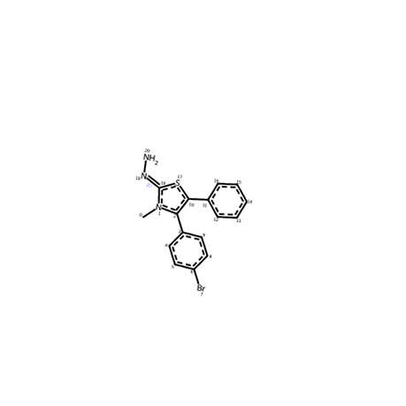 Cn1c(-c2ccc(Br)cc2)c(-c2ccccc2)s/c1=N\N